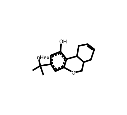 CCCCCCC(C)(C)c1cc(O)c2c(c1)OCC1CC=CCC21